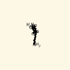 NCCCCCCCCn1c(=O)c2cc3c(=O)n(N)c(=O)c3cc2c1=O